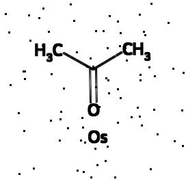 CC(C)=O.[Os]